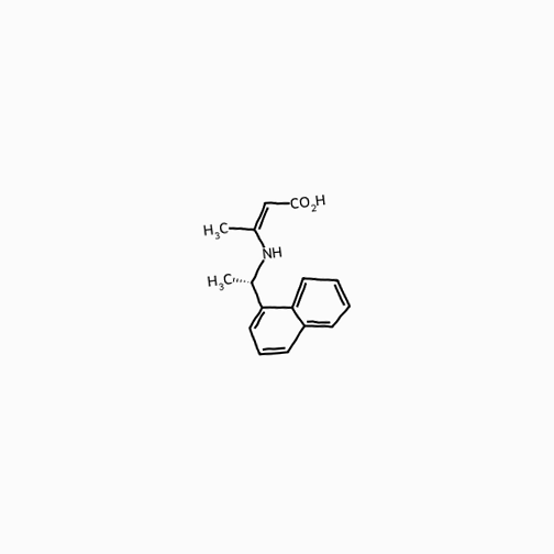 C/C(=C/C(=O)O)N[C@@H](C)c1cccc2ccccc12